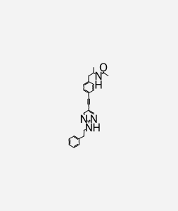 CC(=O)NC(C)Cc1ccc(C#Cc2cnc(NCCc3ccccc3)nc2)cc1